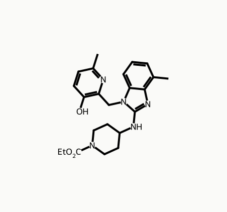 CCOC(=O)N1CCC(Nc2nc3c(C)cccc3n2Cc2nc(C)ccc2O)CC1